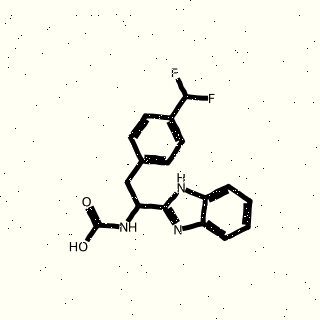 O=C(O)NC(Cc1ccc(C(F)F)cc1)c1nc2ccccc2[nH]1